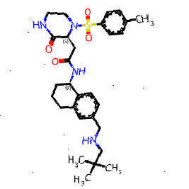 Cc1ccc(S(=O)(=O)N2CCNC(=O)[C@@H]2CC(=O)N[C@@H]2CCCc3cc(CNCC(C)(C)C)ccc32)cc1